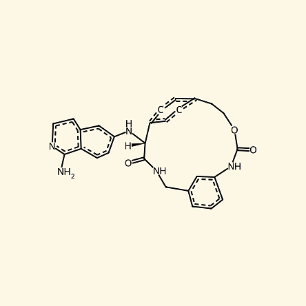 Nc1nccc2cc(N[C@H]3C(=O)NCc4cccc(c4)NC(=O)OCCc4ccc3cc4)ccc12